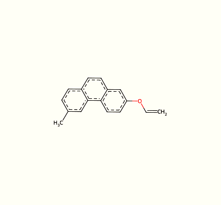 C=COc1ccc2c(ccc3ccc(C)cc32)c1